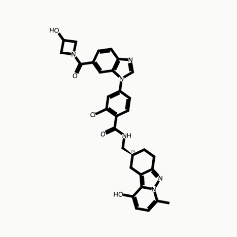 Cc1ccc(O)c2c3c(nn12)CC[C@H](CNC(=O)c1ccc(-n2cnc4ccc(C(=O)N5CC(O)C5)cc42)cc1Cl)C3